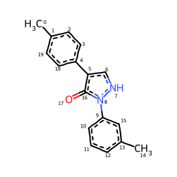 Cc1ccc(-c2c[nH]n(-c3cccc(C)c3)c2=O)cc1